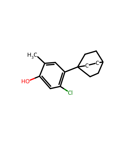 Cc1cc(C23CCC(CC2)CC3)c(Cl)cc1O